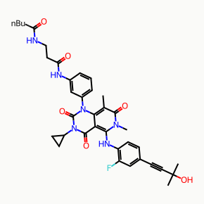 CCCCC(=O)NCCC(=O)Nc1cccc(-n2c(=O)n(C3CC3)c(=O)c3c(Nc4ccc(C#CC(C)(C)O)cc4F)n(C)c(=O)c(C)c32)c1